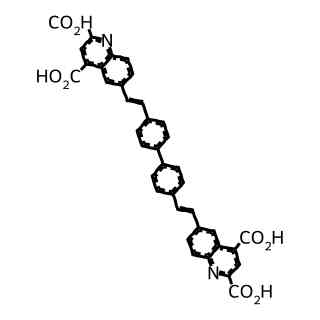 O=C(O)c1cc(C(=O)O)c2cc(/C=C/c3ccc(-c4ccc(/C=C/c5ccc6nc(C(=O)O)cc(C(=O)O)c6c5)cc4)cc3)ccc2n1